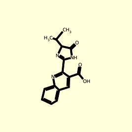 CC(C)C1N=C(c2nc3ccccc3cc2C(=O)O)NC1=O